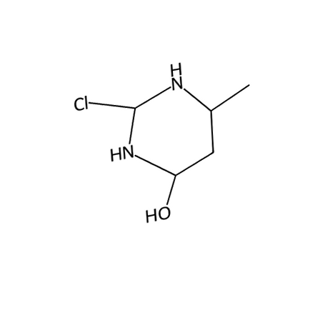 CC1CC(O)NC(Cl)N1